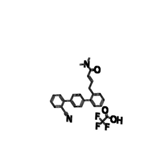 CN(C)C(=O)C=CCc1ccccc1-c1ccc(-c2ccccc2C#N)cc1.O=C(O)C(F)(F)F